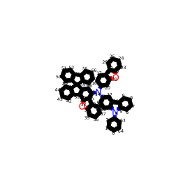 c1ccc(-n2c3ccccc3c3cc(N(c4ccc5c(c4)oc4ccccc45)c4cc5c(c6oc7ccccc7c46)-c4ccccc4C54c5ccccc5-c5ccccc54)ccc32)cc1